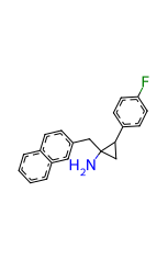 NC1(Cc2ccc3ccccc3c2)CC1c1ccc(F)cc1